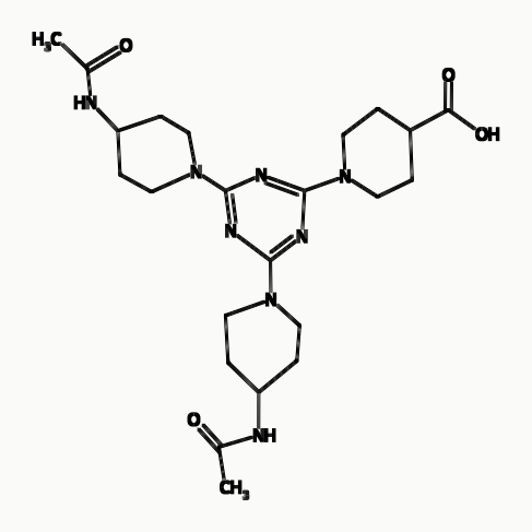 CC(=O)NC1CCN(c2nc(N3CCC(NC(C)=O)CC3)nc(N3CCC(C(=O)O)CC3)n2)CC1